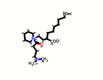 CCCCCCCCCCCCCCCCC(CC[N+]1(C(=O)CCCN(C)C)CCCCC1)C(=O)[O-]